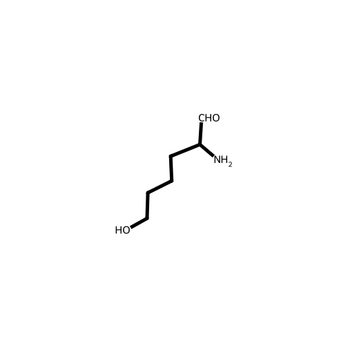 NC(C=O)CCCCO